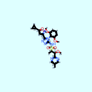 COc1cccc(OC)c1-n1c(NS(=O)(=O)C(C)C(OC)c2ncc(C)cn2)nnc1-c1cc(C2CC2)on1